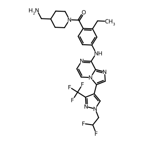 CCc1cc(Nc2nccn3c(-c4cn(CC(F)F)nc4C(F)(F)F)cnc23)ccc1C(=O)N1CCC(CN)CC1